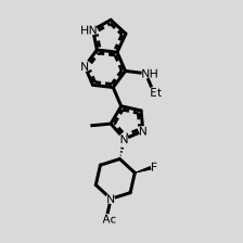 CCNc1c(-c2cnn([C@H]3CCN(C(C)=O)C[C@@H]3F)c2C)cnc2[nH]ccc12